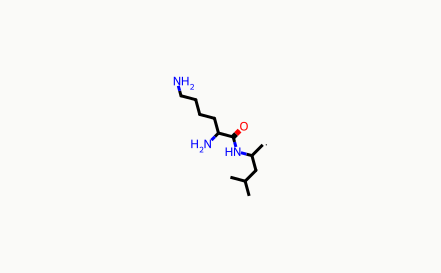 [CH2]C(CC(C)C)NC(=O)C(N)CCCCN